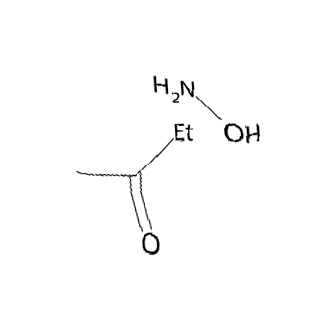 CCC(C)=O.NO